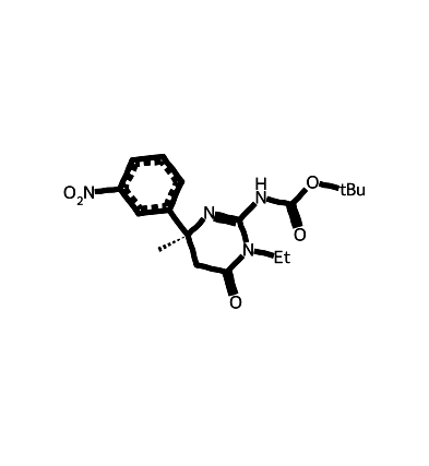 CCN1C(=O)C[C@@](C)(c2cccc([N+](=O)[O-])c2)N=C1NC(=O)OC(C)(C)C